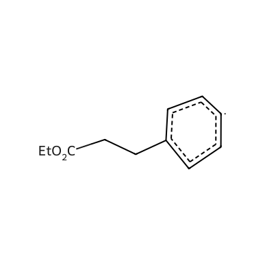 CCOC(=O)CCc1cc[c]cc1